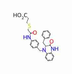 O=C(O)CCSCC(=O)Nc1ccc(CN2c3ccccc3NC(=O)C2Cc2ccccc2)cc1